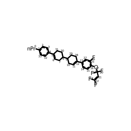 CCCc1ccc(C2=CCC(C3CC=C(c4ccc(OC(F)(F)C=C(F)F)c(F)c4)CC3)CC2)cc1